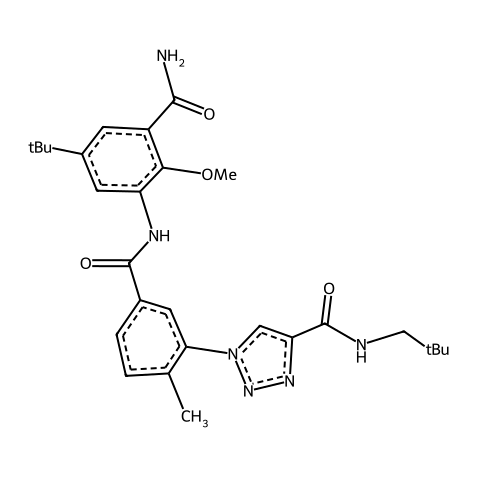 COc1c(NC(=O)c2ccc(C)c(-n3cc(C(=O)NCC(C)(C)C)nn3)c2)cc(C(C)(C)C)cc1C(N)=O